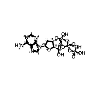 Nc1ncnc2c1ncn2[C@H]1C[C@H](OP(=O)(O)OP(=O)(O)OP(=O)(O)O)[C@@H](CO)O1